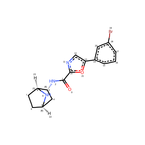 O=C(N[C@@H]1C[C@H]2CC[C@@H]1N2)c1ncc(-c2cccc(Br)c2)o1